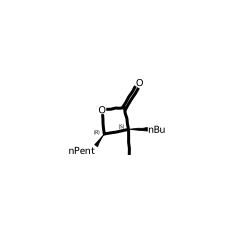 CCCCC[C@H]1OC(=O)[C@@]1(C)CCCC